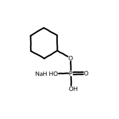 O=P(O)(O)OC1CCCCC1.[NaH]